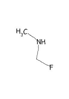 CNCF